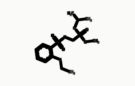 CCSc1ccccc1S(=O)(=O)OCP(=O)(OC)OC(C)C